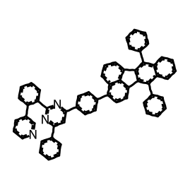 c1ccc(-c2cc(-c3ccc(-c4ccc5c6c(cccc46)-c4c-5c(-c5ccccc5)c5ccccc5c4-c4ccccc4)cc3)nc(-c3ccccc3-c3cccnc3)n2)cc1